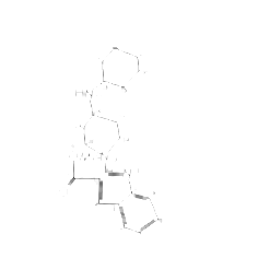 COC(=O)c1cc2ccccc2nc1N1CCC(NC2CCCCC2)CC1